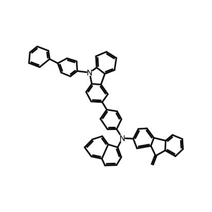 C=C1c2ccccc2-c2ccc(N(c3ccc(-c4ccc5c(c4)c4ccccc4n5-c4ccc(-c5ccccc5)cc4)cc3)c3cccc4ccccc34)cc21